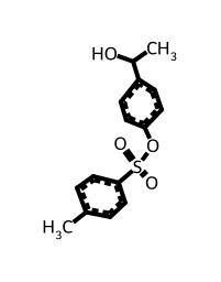 Cc1ccc(S(=O)(=O)Oc2ccc(C(C)O)cc2)cc1